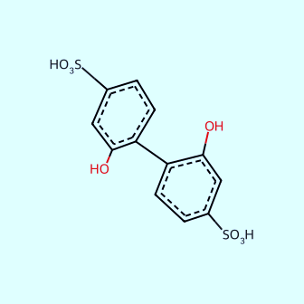 O=S(=O)(O)c1ccc(-c2ccc(S(=O)(=O)O)cc2O)c(O)c1